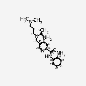 C=C(N)N(CCCN(C)C)Cc1ccc(C(=O)Nc2ccccc2N)nc1